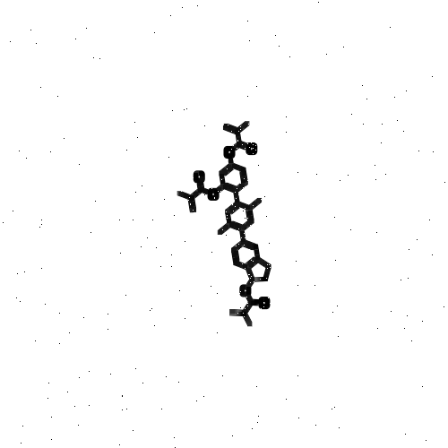 C=C(C)C(=O)Oc1ccc(-c2cc(C)c(-c3ccc4c(c3)CCC4OC(=O)C(=C)C)cc2C)c(OC(=O)C(=C)C)c1